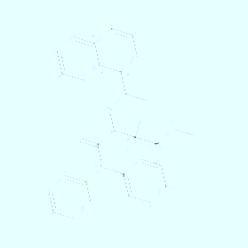 CC(NC(C(=O)N(c1ccccc1)c1ccccc1)C(F)(F)C(=O)OF)c1cccc2ccccc12